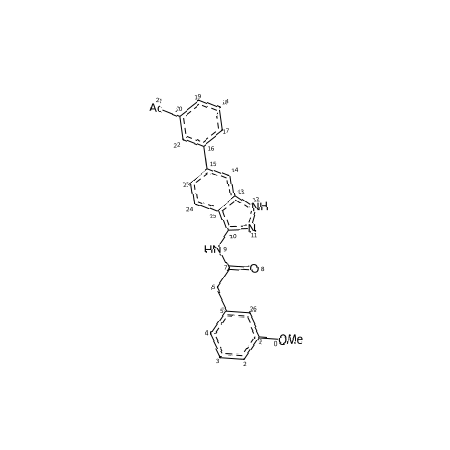 COc1cccc(CC(=O)Nc2n[nH]c3cc(-c4cccc(C(C)=O)c4)ccc23)c1